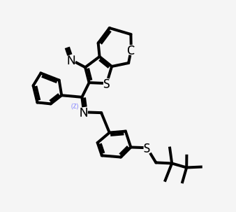 C=Nc1c(/C(=N\Cc2cccc(SCC(C)(C)C(C)(C)C)c2)c2ccccc2)sc2c1C=CCCC2